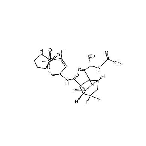 CC(C)(C)[C@H](NC(=O)C(F)(F)F)C(=O)N1[C@@H]2CC[C@H]([C@@H]1C(=O)N[C@H](/C=C(/F)S(C)(=O)=O)C[C@@H]1CCNC1=O)C(F)(F)C2